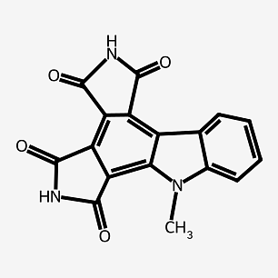 Cn1c2ccccc2c2c3c(=O)[nH]c(=O)c3c3c(=O)[nH]c(=O)c3c21